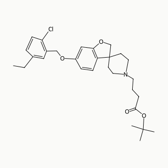 CCc1ccc(Cl)c(COc2ccc3c(c2)OCC32CCN(CCCC(=O)OC(C)(C)C)CC2)c1